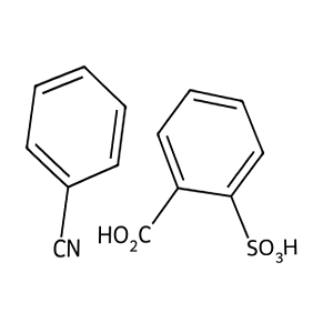 N#Cc1ccccc1.O=C(O)c1ccccc1S(=O)(=O)O